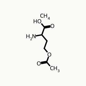 C.CC(=O)OCCC(N)C(=O)O